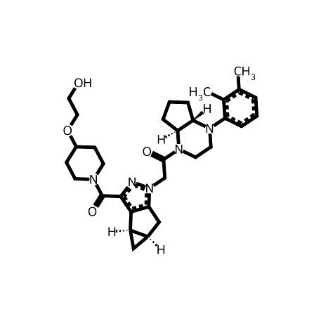 Cc1cccc(N2CCN(C(=O)Cn3nc(C(=O)N4CCC(OCCO)CC4)c4c3C[C@H]3C[C@@H]43)[C@H]3CCC[C@@H]32)c1C